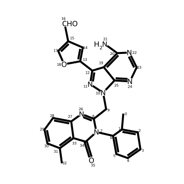 Cc1ccccc1-n1c(Cn2nc(-c3cc(C=O)co3)c3c(N)ncnc32)nc2cccc(C)c2c1=O